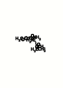 COc1ccc(COC(=O)C(N)(N)CCCCC(=O)OC(C)(C)C)cc1